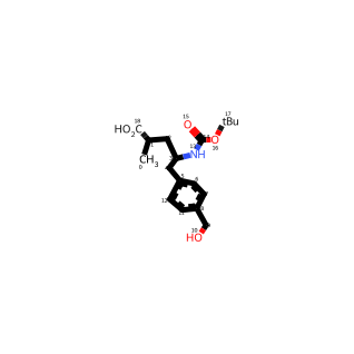 CC(CC(Cc1ccc(CO)cc1)NC(=O)OC(C)(C)C)C(=O)O